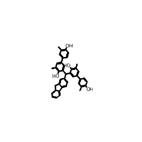 Cc1cc(-c2cc(C)c(O)c(C(c3ccc4c(c3)Cc3ccccc3-4)c3cc(-c4ccc(O)c(C)c4)cc(C)c3O)c2)ccc1O